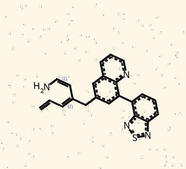 C=C/C=C(\C=C/N)Cc1cc(-c2cccc3nsnc23)c2ncccc2c1